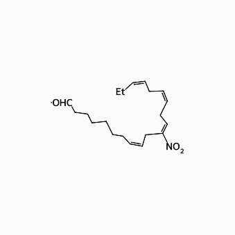 CC/C=C\C/C=C\C/C=C(\C/C=C\CCCCCC[C]=O)[N+](=O)[O-]